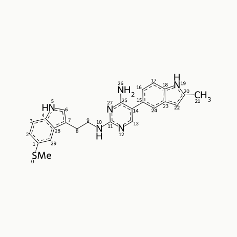 CSc1ccc2[nH]cc(CCNc3ncc(-c4ccc5[nH]c(C)cc5c4)c(N)n3)c2c1